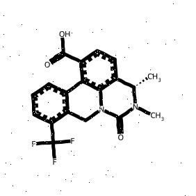 C[C@H]1c2ccc(C(=O)O)c3c2N(Cc2c-3cccc2C(F)(F)F)C(=O)N1C